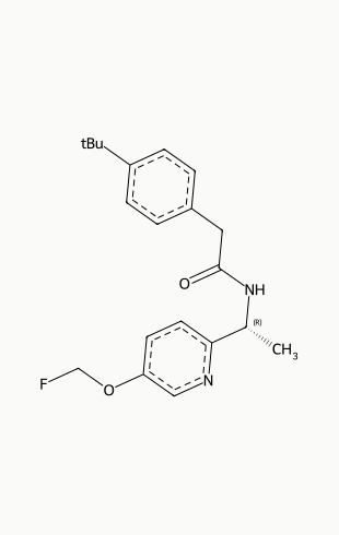 C[C@@H](NC(=O)Cc1ccc(C(C)(C)C)cc1)c1ccc(OCF)cn1